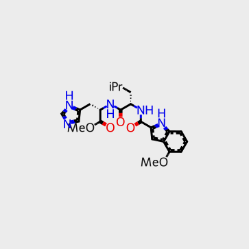 COC(=O)[C@H](Cc1cnc[nH]1)NC(=O)[C@H](CC(C)C)NC(=O)c1cc2c(OC)cccc2[nH]1